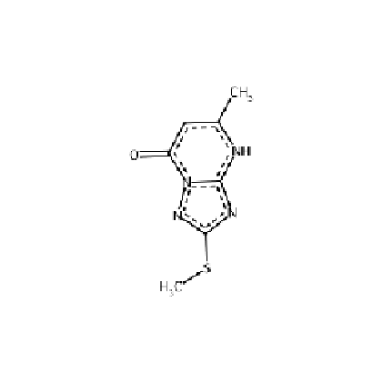 CSc1nc2[nH]c(C)cc(=O)n2n1